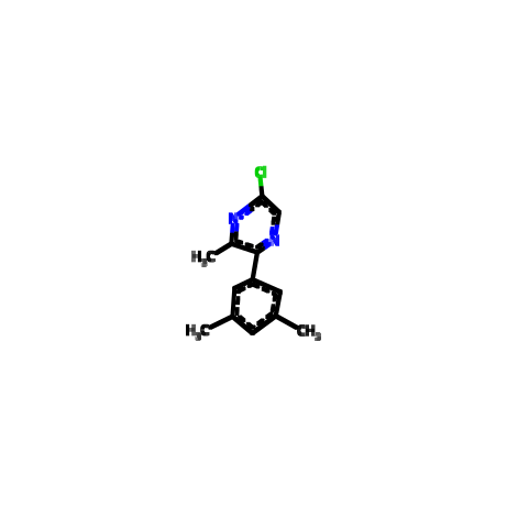 Cc1cc(C)cc(-c2ncc(Cl)nc2C)c1